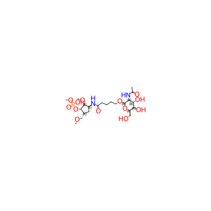 COC[C@H]1C[C@H](NC(=O)CCCCO[C@@H]2O[C@H](CO)[C@H](O)[C@H](O)[C@H]2NC(C)=O)[C@@H](OC)C1OP(=O)(O)OC